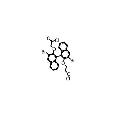 O=C(Cl)COc1c(Br)cc2ccccc2c1-c1c(OCCOCl)c(Br)cc2ccccc12